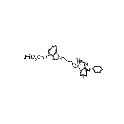 O=C(O)COc1cccc2c1ccn2CCCOc1ncnc2c1cnn2-c1ccccc1